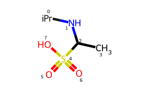 CC(C)NC(C)S(=O)(=O)O